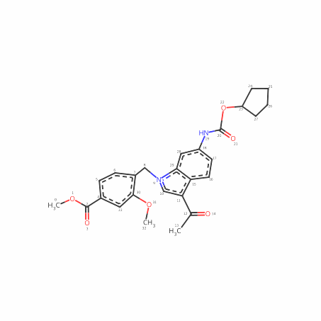 COC(=O)c1ccc(Cn2cc(C(C)=O)c3ccc(NC(=O)OC4CCCC4)cc32)c(OC)c1